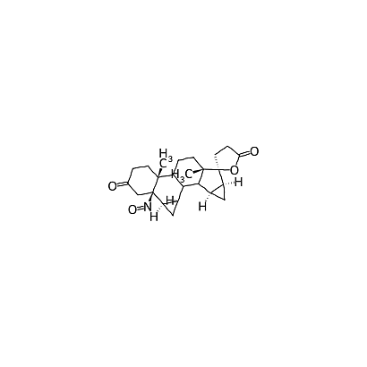 C[C@]12CCC3C(C1[C@@H]1C[C@@H]1[C@@]21CCC(=O)O1)[C@H]1C[C@H]1[C@]1(N=O)CC(=O)CC[C@]31C